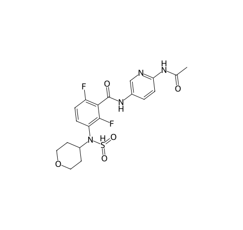 CC(=O)Nc1ccc(NC(=O)c2c(F)ccc(N(C3CCOCC3)[SH](=O)=O)c2F)cn1